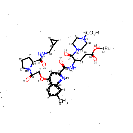 Cc1ccc2c(OCC(=O)N3CCC[C@H]3C(=O)NCC3CC3)cc(C(=O)NC(CCC(=O)OC(C)(C)C)C(=O)N3CCN(C(=O)O)CC3)nc2c1